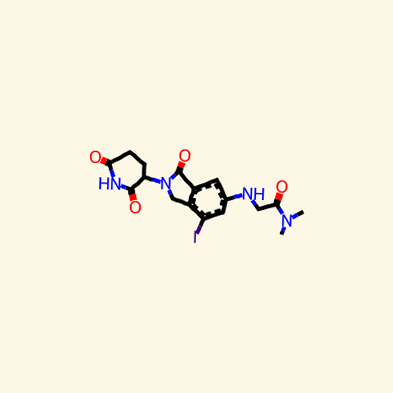 CN(C)C(=O)CNc1cc(I)c2c(c1)C(=O)N(C1CCC(=O)NC1=O)C2